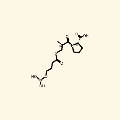 C[C@H](CSC(=O)CCCON(O)O)C(=O)N1CCC[C@H]1C(=O)O